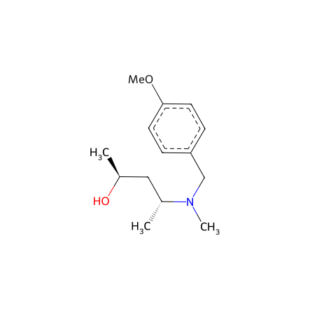 COc1ccc(CN(C)[C@H](C)C[C@H](C)O)cc1